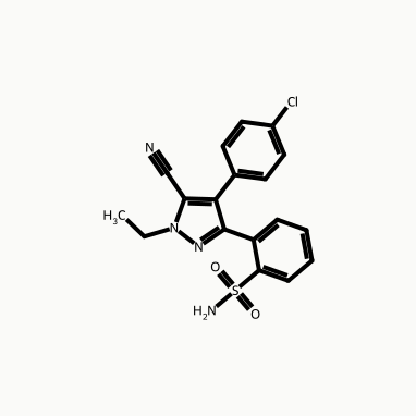 CCn1nc(-c2ccccc2S(N)(=O)=O)c(-c2ccc(Cl)cc2)c1C#N